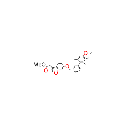 COC(=O)C[C@@H]1COc2cc(OCc3cccc(-c4c(C)cc5c(c4C)CC(C)O5)c3)ccc21